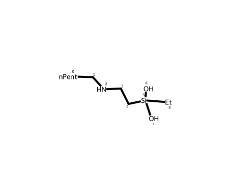 CCCCCCNCC[Si](O)(O)CC